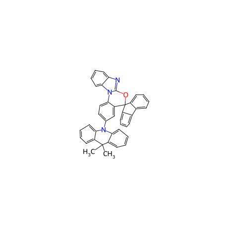 CC1(C)c2ccccc2N(c2ccc3c(c2)C2(Oc4nc5ccccc5n4-3)c3ccccc3-c3ccccc32)c2ccccc21